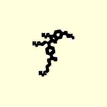 CCCCOC(=O)c1ccc([C@@H](CCC)c2nc3cc(OC)ccc3n2C)cc1